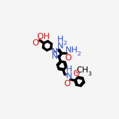 COc1ccccc1C(=O)NCc1ccc(-c2nn(C3CCC(C(=O)O)CC3)c(N)c2C(N)=O)cc1